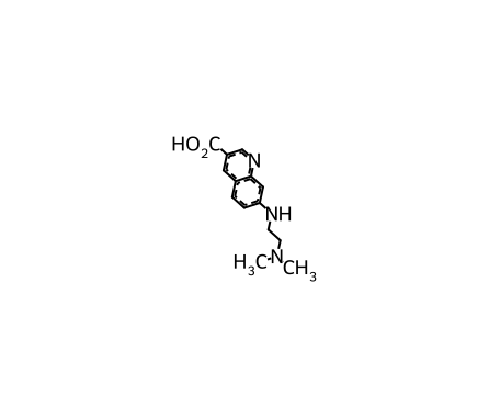 CN(C)CCNc1ccc2cc(C(=O)O)cnc2c1